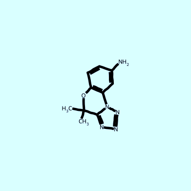 CC1(C)Oc2ccc(N)cc2-n2nnnc21